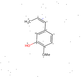 C/C=C\c1ccc(OC)c(O)c1